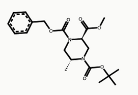 COC(=O)[C@H]1CN(C(=O)OC(C)(C)C)[C@H](C)CN1C(=O)OCc1ccccc1